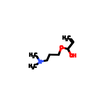 C=CC(O)OCCCN(C)C